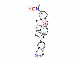 CN(O)[C@H]1CCC2=CC3=CC[C@]4(C)C(c5ccc6ccncc6c5)=CC[C@H]4[C@@]34CCC2(C1)O4